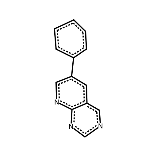 c1ccc(-c2cnc3ncncc3c2)cc1